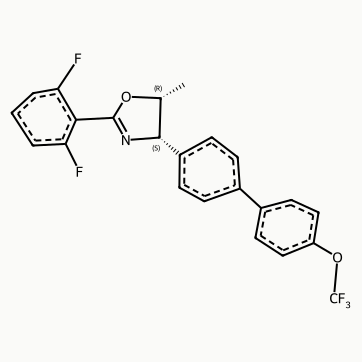 C[C@H]1OC(c2c(F)cccc2F)=N[C@H]1c1ccc(-c2ccc(OC(F)(F)F)cc2)cc1